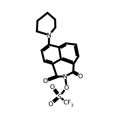 O=C1c2cccc3c(N4CCCCC4)ccc(c23)C(=O)N1OS(=O)(=O)C(F)(F)F